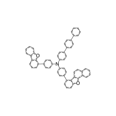 c1ccc(-c2ccc(-c3ccc(N(c4ccc(-c5cccc6c5oc5ccccc56)cc4)c4ccc(-c5cccc6oc7c8ccccc8ccc7c56)cc4)cc3)cc2)cc1